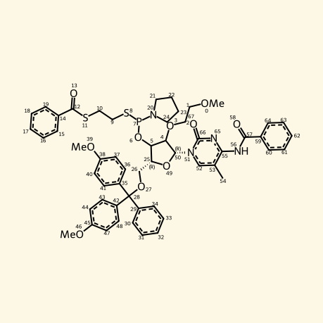 COCCOC1C(OP(SCCSC(=O)c2ccccc2)N2CCCC2)[C@@H](COC(c2ccccc2)(c2ccc(OC)cc2)c2ccc(OC)cc2)O[C@H]1n1cc(C)c(NC(=O)c2ccccc2)nc1=O